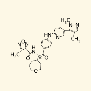 Cc1cnn(C)c1-c1ccc(Nc2ccc(C(=O)[C@@H](NC(=O)c3nonc3C)C3CCCCCC3)cc2)nc1